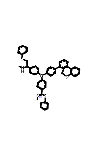 C/N=C(\Sc1ccccc1)c1ccc(N(c2ccc(-c3cccc4c3CSc3ccccc3-4)cc2)c2ccc(C(CSc3ccccc3)NC)cc2)cc1